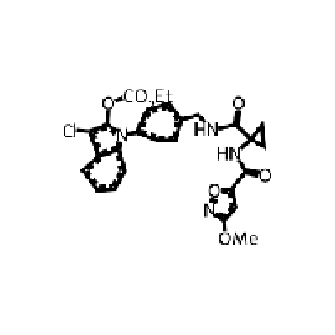 CCOC(=O)Oc1c(Cl)c2ccccc2n1-c1ccc(CNC(=O)C2(NC(=O)c3cc(OC)no3)CC2)cc1